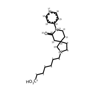 O=C(O)CCCCCCN1CCC2(CCN(c3ccncc3)C(=O)C2)C1